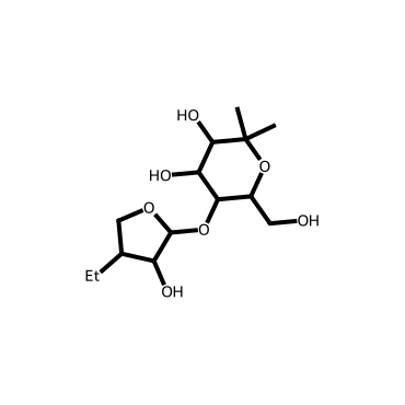 CCC1COC(OC2C(CO)OC(C)(C)C(O)C2O)C1O